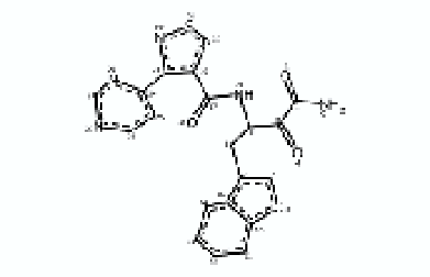 NC(=O)C(=O)C(Cc1coc2ccccc12)NC(=O)c1nsnc1-c1ccncn1